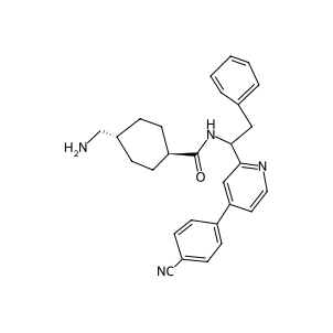 N#Cc1ccc(-c2ccnc(C(Cc3ccccc3)NC(=O)[C@H]3CC[C@H](CN)CC3)c2)cc1